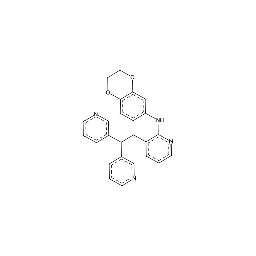 c1cncc(C(Cc2cccnc2Nc2ccc3c(c2)OCCO3)c2cccnc2)c1